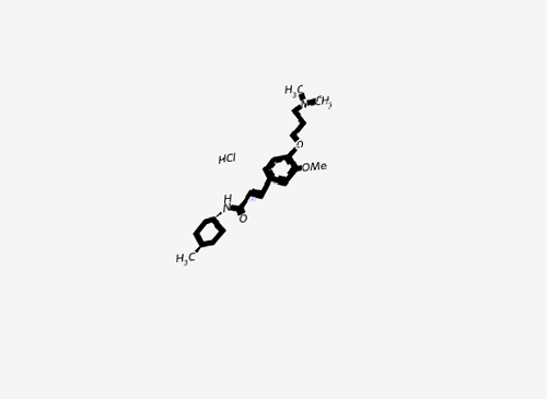 COc1cc(/C=C/C(=O)N[C@H]2CC[C@H](C)CC2)ccc1OCCCN(C)C.Cl